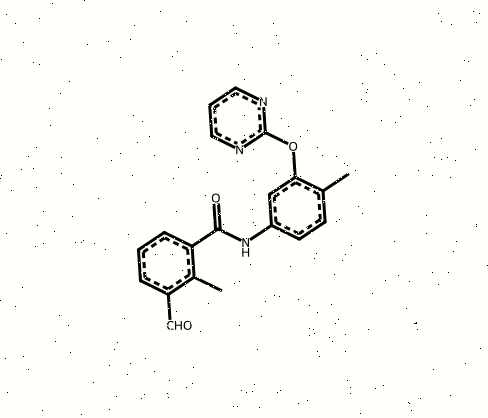 Cc1ccc(NC(=O)c2cccc(C=O)c2C)cc1Oc1ncccn1